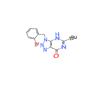 CC(C)(C)c1nc(=O)c2nnn(Cc3ccccc3Br)c2[nH]1